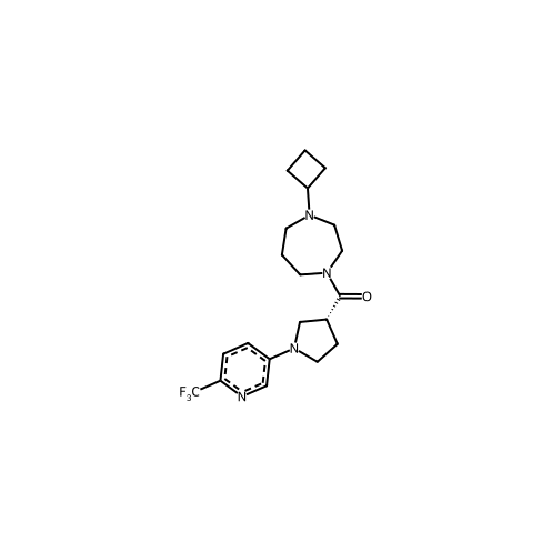 O=C([C@@H]1CCN(c2ccc(C(F)(F)F)nc2)C1)N1CCCN(C2CCC2)CC1